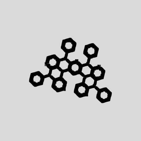 c1ccc(N2c3ccnc4c3B(c3cnccc3N4c3ccccc3)c3cc4c(nc32)N(c2ccccc2)c2nccc3c2N4c2cccnc2N3c2ccccc2)cc1